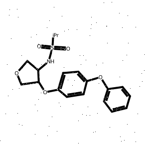 CC(C)S(=O)(=O)NC1COCC1Oc1ccc(Oc2ccccc2)cc1